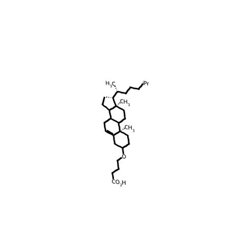 CC(C)CCC[C@@H](C)[C@H]1CCC2C3CC=C4CC(OCCCC(=O)O)CC[C@]4(C)C3CC[C@@]21C